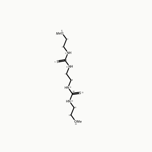 COCCNC(=S)NCCNC(=S)NCCOC